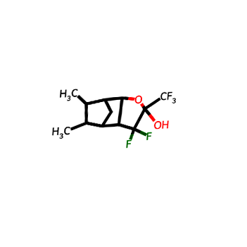 CC1C(C)C2CC1C1OC(O)(C(F)(F)F)C(F)(F)C21